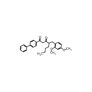 CCCCN(Cc1ccc(OC)cc1OC)C(=O)CC(=O)c1ccc(-c2ccccc2)cc1